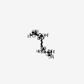 CCOP(=O)(O)OCOP(=O)(O)OCCCCOP(=O)(O)OCOP(=O)(O)OCC